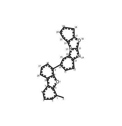 Cc1cccc2c1oc1c(-c3ccc4nc5oc6ccccc6n5c4c3)cccc12